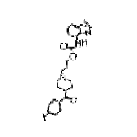 O=C(Nc1cccc2scnc12)OCCCN1CCC(C(=O)c2ccc(I)cc2)CC1